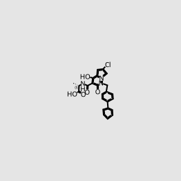 C[C@H](NC(=O)c1c(O)c2cc(Cl)cn2n(Cc2ccc(-c3ccccc3)cc2)c1=O)C(=O)O